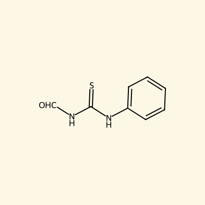 O=CNC(=S)Nc1ccccc1